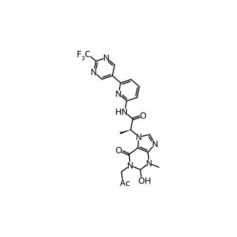 CC(=O)CN1C(=O)c2c(ncn2[C@@H](C)C(=O)Nc2cccc(-c3cnc(C(F)(F)F)nc3)n2)N(C)C1O